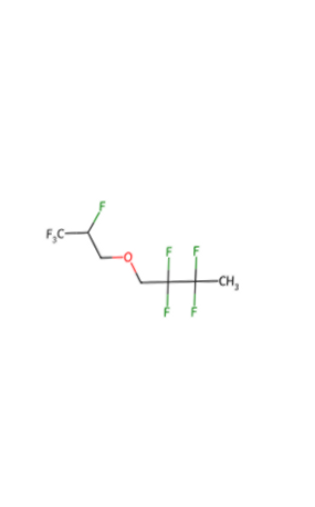 CC(F)(F)C(F)(F)COCC(F)C(F)(F)F